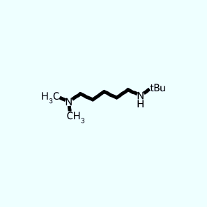 CN(C)CCCCCNC(C)(C)C